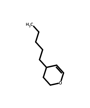 CCCCCC1C=COCC1